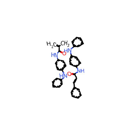 C=C(C)C(=O)Nc1ccc(Nc2ccccc2)cc1.O=C(C=Cc1ccccc1)Nc1ccc(Nc2ccccc2)cc1